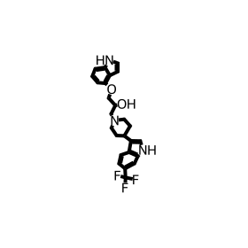 OC(COc1cccc2[nH]ccc12)CN1CCC(c2c[nH]c3cc(C(F)(F)F)ccc23)CC1